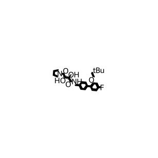 CC(C)(C)CCOc1cc(F)ccc1-c1ccc(CNC(=O)[C@H](O)[C@@H](O)C(=O)N2CCCC2)cc1